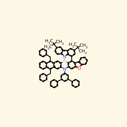 CC(C)(C)c1ccc2c(c1)c1cc(C(C)(C)C)cc3c1n2B1c2cc4c(Cc5ccccc5)c5ccccc5c(Cc5ccccc5)c4cc2N(c2cc(-c4ccccc4)cc(-c4ccccc4)c2)c2cc4oc5ccccc5c4c-3c21